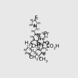 Cc1cc(-c2c(C)cccc2C)cc([C@H](CC(=O)O)NC(=O)[C@H](CC(C)C)n2nc(CCN3CC[C@H](F)C3)cc(C)c2=O)c1F